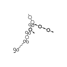 C#Cc1ccc(C#Cc2ccc(C#CC3(OC(=O)c4ccc(OC(=O)C5CCC(C(=O)OCCCCCCOC(=O)C=C)CC5)c(C#C)c4)CCC(C4CCC(C)CC4)CC3)cc2)cc1